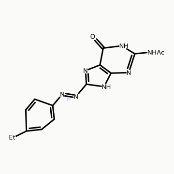 CCc1ccc(/N=N/c2nc3c(=O)[nH]c(NC(C)=O)nc3[nH]2)cc1